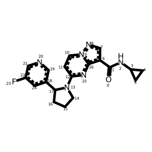 O=C(NC1CC1)c1cnn2ccc(N3CCCC3c3cncc(F)c3)nc12